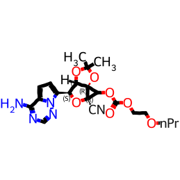 CCCOCCOC(=O)OC1[C@@]2(C#N)O[C@@H](c3ccc4c(N)ncnn34)[C@@H]3OC(C)(C)O[C@@]132